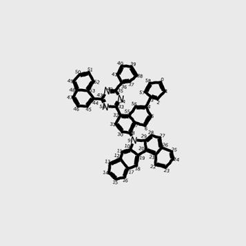 c1ccc(-c2ccc3c(-n4c5cc6ccccc6cc5c5c6ccccc6ccc54)ccc(-c4nc(-c5ccccc5)nc(-c5cccc6ccccc56)n4)c3c2)cc1